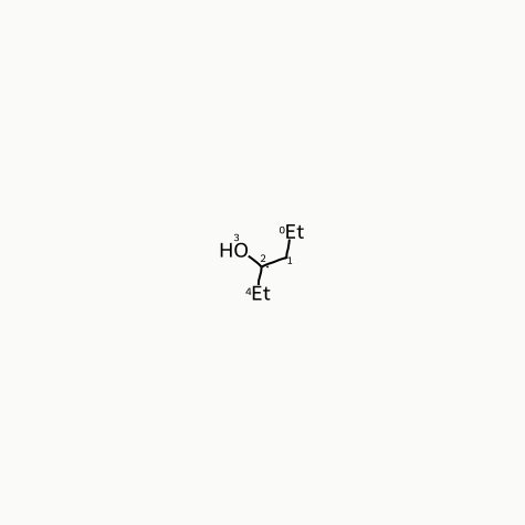 CCC[C](O)CC